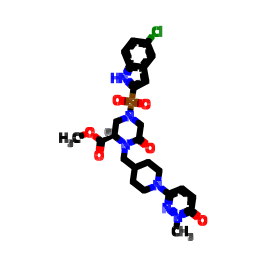 COC(=O)[C@H]1CN(S(=O)(=O)c2cc3cc(Cl)ccc3[nH]2)CC(=O)N1CC1CCN(c2ccc(=O)n(C)n2)CC1